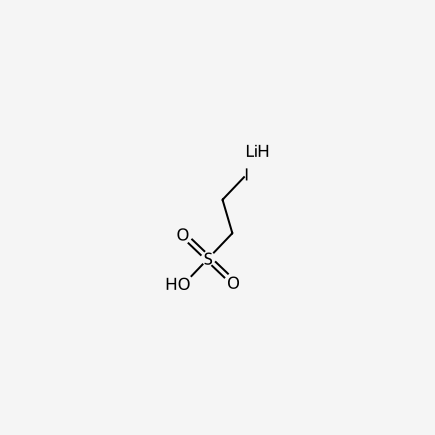 O=S(=O)(O)CCI.[LiH]